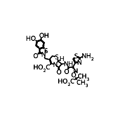 CC(C)(O/N=C(\C(=O)NC1C(=O)N2C(C(=O)O)=C(Cn3sc4cc(O)c(O)cc4c3=O)CS[C@H]12)c1csc(N)n1)C(=O)O